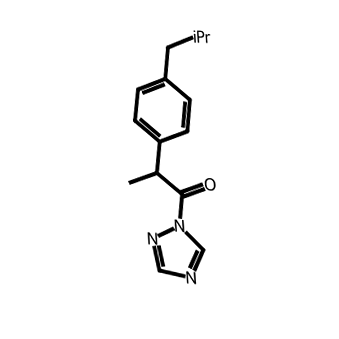 CC(C)Cc1ccc(C(C)C(=O)n2cncn2)cc1